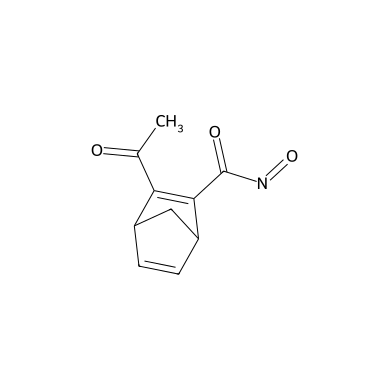 CC(=O)C1=C(C(=O)N=O)C2C=CC1C2